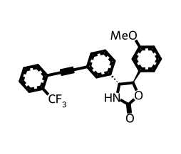 COc1cccc([C@H]2OC(=O)N[C@@H]2c2cccc(C#Cc3ccccc3C(F)(F)F)c2)c1